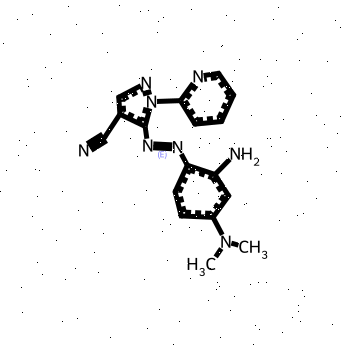 CN(C)c1ccc(/N=N/c2c(C#N)cnn2-c2ccccn2)c(N)c1